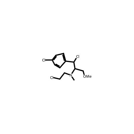 COCC(C(Cl)c1ccc(Cl)cc1)N(C)CCCl